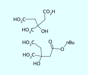 CCCCOC(=O)CC(O)(CC(=O)O)C(=O)O.O=C(O)CC(O)(CC(=O)O)C(=O)O